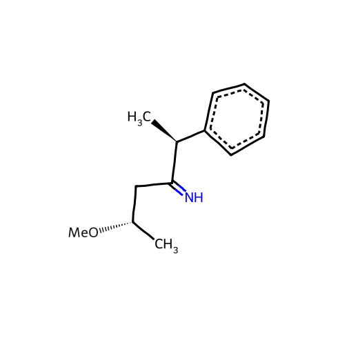 CO[C@@H](C)CC(=N)[C@@H](C)c1ccccc1